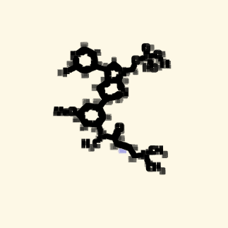 CCOP(=O)(O)OCn1cc(-c2ccnc(F)c2)c2cc(-c3cc(OC)cc(N(C)C(=O)/C=C/CN(C)C)c3)cnc21